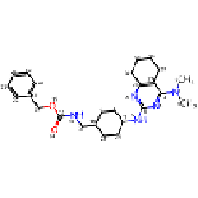 CN(C)c1nc(NC2CCC(CNC(=O)OCc3ccccc3)CC2)nc2c1CCCC2